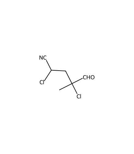 CC(Cl)(C=O)CC(Cl)C#N